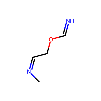 C/N=C\COC=N